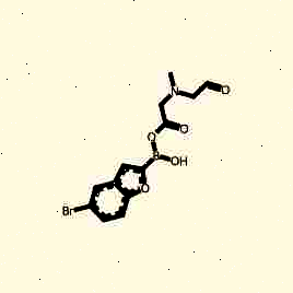 CN(CC=O)CC(=O)OB(O)c1cc2cc(Br)ccc2o1